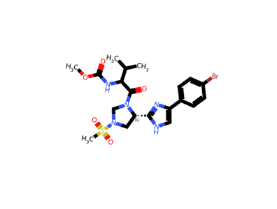 COC(=O)NC(C(=O)N1CN(S(C)(=O)=O)C[C@H]1c1nc(-c2ccc(Br)cc2)c[nH]1)C(C)C